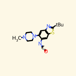 CN1CCN(c2cc3nc(C(C)(C)C)sc3cc2N=C=O)CC1